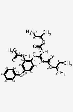 CCC(C)OC(=O)N=C(NC(=O)OC(C)CC)Nc1ccc(Sc2ccccc2)cc1NC(C)=O